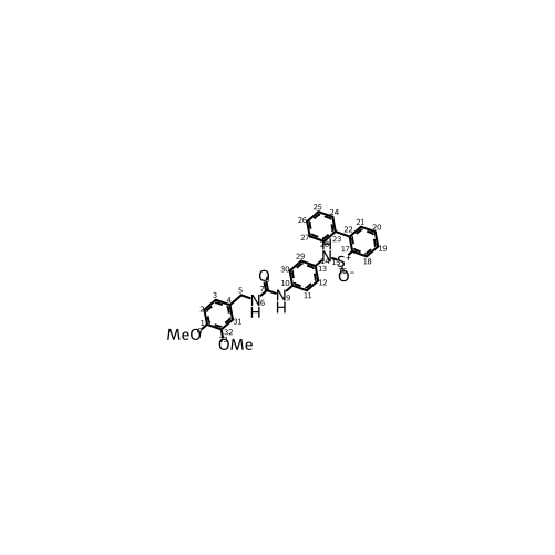 COc1ccc(CNC(=O)Nc2ccc(N[S+]([O-])c3ccccc3-c3ccccc3)cc2)cc1OC